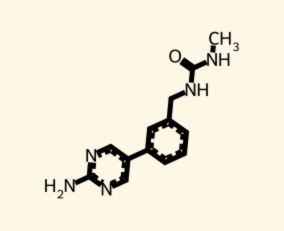 CNC(=O)NCc1cccc(-c2cnc(N)nc2)c1